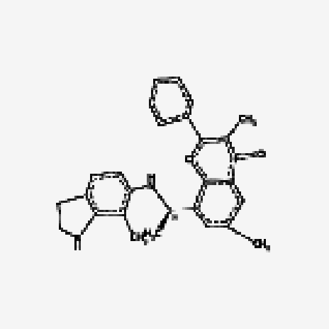 Cc1cc([C@@H](C)Nc2ccc3c(c2C)NCC3)c2oc(-c3ccccc3)c(C)c(=O)c2c1